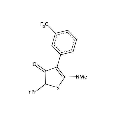 CCCC1SC(NC)=C(c2cccc(C(F)(F)F)c2)C1=O